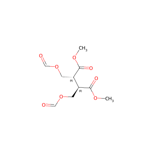 COC(=O)[C@@H](COC=O)[C@H](COC=O)C(=O)OC